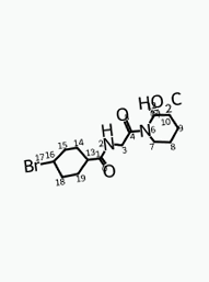 O=C(NCC(=O)N1CCCC[C@H]1C(=O)O)C1CCC(Br)CC1